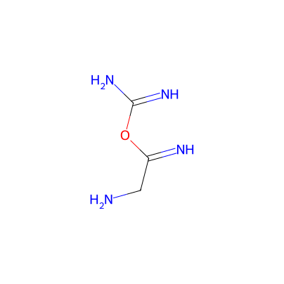 N=C(N)OC(=N)CN